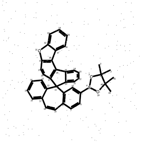 CC1(C)OB(c2ccc3c(c2)C2(c4ccccc4C=C3)c3ccccc3-c3c2ccc2oc4ccccc4c32)OC1(C)C